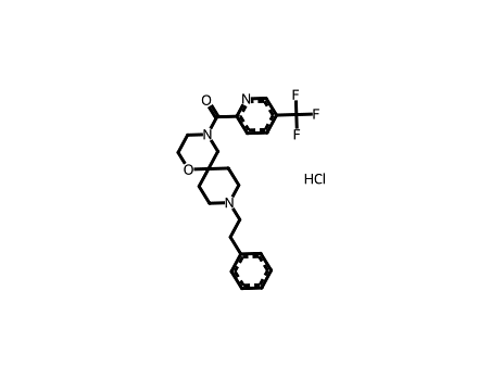 Cl.O=C(c1ccc(C(F)(F)F)cn1)N1CCOC2(CCN(CCc3ccccc3)CC2)C1